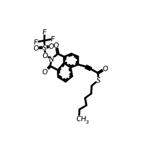 CCCCCCSC(=O)C#Cc1ccc2c3c(cccc13)C(=O)N(OS(=O)(=O)C(F)(F)F)C2=O